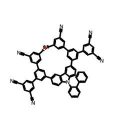 N#Cc1cc(C#N)cc(-c2cc(-c3cc(C#N)cc(C#N)c3)cc(-c3ccc4c(c3)c3cc(-c5cc(-c6cc(C#N)cc(C#N)c6)cc(-c6cc(C#N)cc(C#N)c6)c5)ccc3n4-c3ccccc3-c3ccccc3)c2)c1